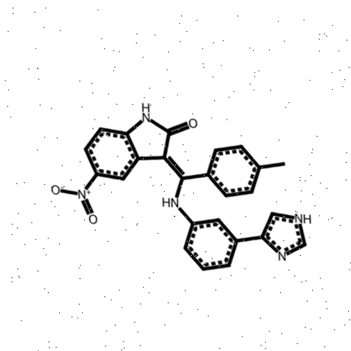 Cc1ccc(C(Nc2cccc(-c3c[nH]cn3)c2)=C2C(=O)Nc3ccc([N+](=O)[O-])cc32)cc1